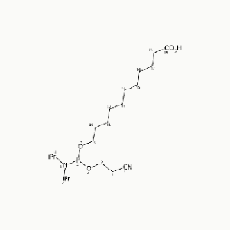 CC(C)N(C(C)C)P(OCCC#N)OCCCCCCCCCCC(=O)O